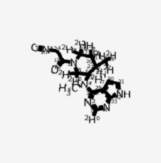 [2H]c1nc(N(C)[C@@]2([2H])C([2H])([2H])N(C(=O)C[N+]#[C-])C([2H])([2H])C([2H])([2H])[C@@]2([2H])C([2H])([2H])[2H])c2cc[nH]c2n1